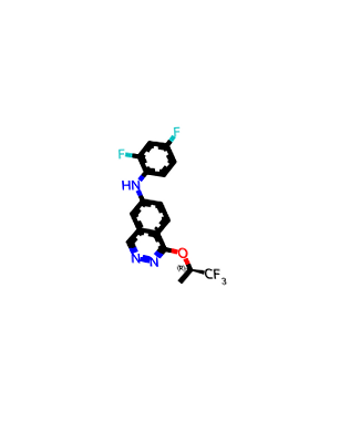 C[C@@H](Oc1nncc2cc(Nc3ccc(F)cc3F)ccc12)C(F)(F)F